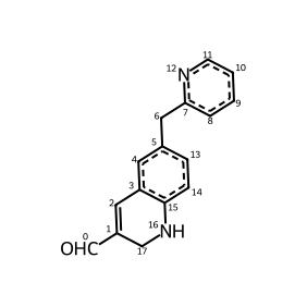 O=CC1=Cc2cc(Cc3ccccn3)ccc2NC1